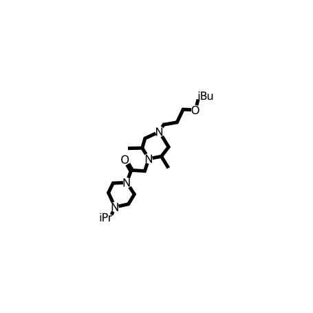 CCC(C)OCCCN1CC(C)N(CC(=O)N2CCN(C(C)C)CC2)C(C)C1